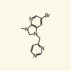 CN1CN(Cc2ccncn2)c2cc(Br)cnc21